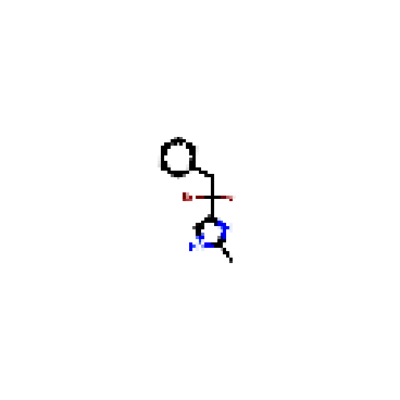 Cc1nc(C(Br)(Br)Cc2ccccc2)c[nH]1